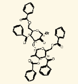 CC1[C@H](O[C@@H]2C(=O)[C@@H](Br)OC(COC(=O)c3ccccc3)[C@H]2C(=O)c2ccccc2)OC(COC(=O)c2ccccc2)[C@@H](C(=O)c2ccccc2)[C@@H]1OC(=O)c1ccccc1